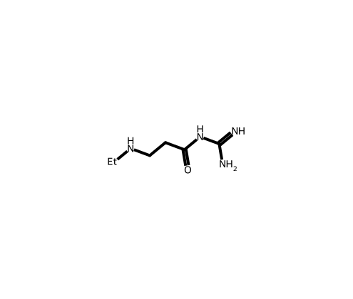 CCNCCC(=O)NC(=N)N